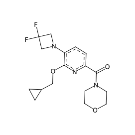 O=C(c1ccc(N2CC(F)(F)C2)c(OCC2CC2)n1)N1CCOCC1